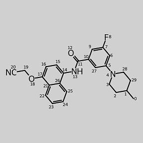 CC1CCN(c2cc(F)cc(C(=O)Nc3ccc(OCC#N)c4ccccc34)c2)CC1